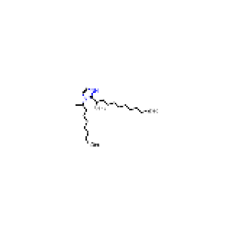 CCCCCCCCCCCCCCCCCCC(CCCCCC)c1[nH]cc[n+]1C(C)CCCCCCCCCCCCCCCC